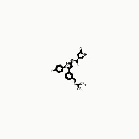 O=C1C[C@H](C(=O)Nc2cc(-c3cccc(COC(C(F)(F)F)C(F)(F)F)c3)n(-c3ccc(F)cc3)n2)CN1